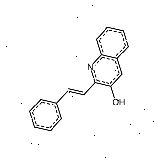 Oc1cc2ccccc2nc1C=Cc1ccccc1